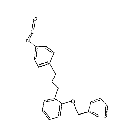 O=C=Nc1ccc(CCCc2ccccc2OCc2ccccc2)cc1